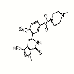 CCCc1nn(C)c2c(=S)[nH]c(-c3cc(S(=O)(=O)N4CCN(C)CC4)ccc3OCC(C)C)cc12